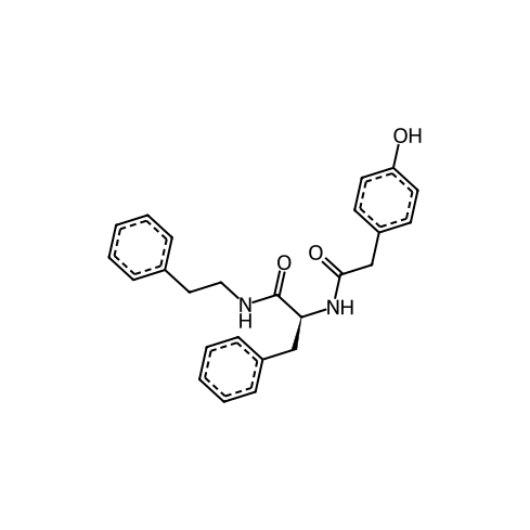 O=C(Cc1ccc(O)cc1)N[C@@H](Cc1ccccc1)C(=O)NCCc1ccccc1